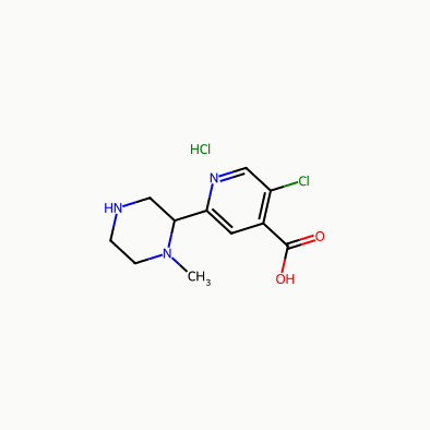 CN1CCNCC1c1cc(C(=O)O)c(Cl)cn1.Cl